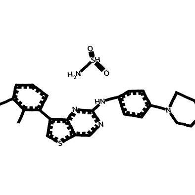 Cc1cccc(-c2csc3cnc(Nc4ccc(N5CCOCC5)cc4)nc23)c1C.N[SH](=O)=O